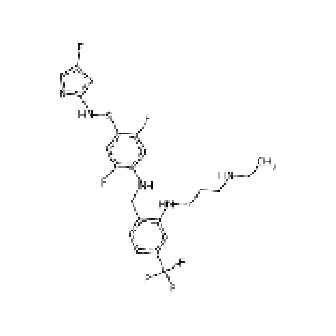 CCNCCCNc1cc(C(F)(F)F)ccc1CNc1cc(F)c(SNc2ncc(F)s2)cc1F